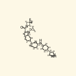 O=C(c1cc2ccc(-c3nccc(Nc4ccc(-c5cn[nH]c5)cc4)n3)cc2n1C1CC1)N1CC(F)(F)C1